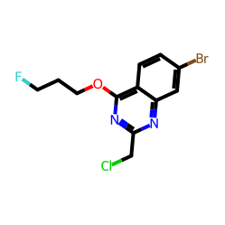 FCCCOc1nc(CCl)nc2cc(Br)ccc12